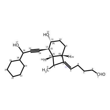 CC1/C(=C/CCCC=O)[C@H]2CC[C@@H](O)[C@H](C#CC(O)C3CCCCC3)[C@@H]12